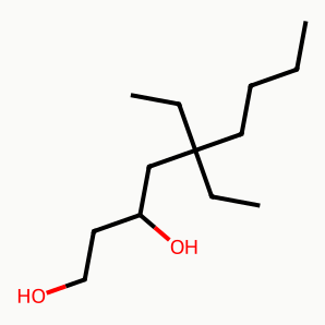 CCCCC(CC)(CC)CC(O)CCO